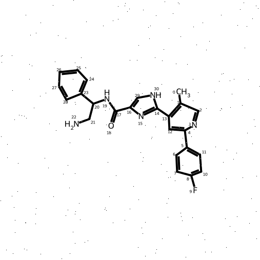 Cc1cnc(-c2ccc(F)cc2)cc1-c1nc(C(=O)NC(CN)c2ccccc2)c[nH]1